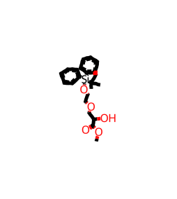 COC(=O)C(O)COCCO[Si](c1ccccc1)(c1ccccc1)C(C)(C)C